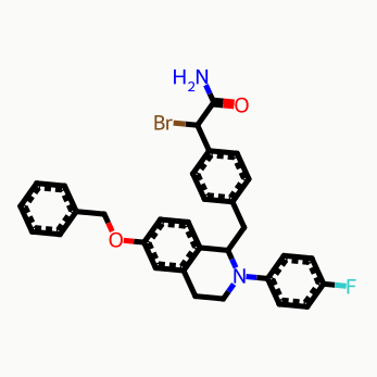 NC(=O)C(Br)c1ccc(CC2c3ccc(OCc4ccccc4)cc3CCN2c2ccc(F)cc2)cc1